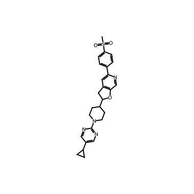 CS(=O)(=O)c1ccc(-c2cc3c(cn2)OC(C2CCN(c4ncc(C5CC5)cn4)CC2)C3)cc1